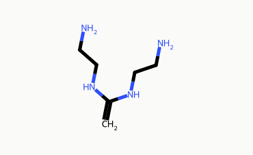 C=C(NCCN)NCCN